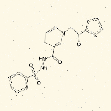 O=C(NNS(=O)(=O)c1ccccc1)C1=CN(CC(=O)c2cccs2)C=CC1